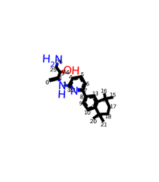 C=C(Nc1cccc(-c2ccc3c(c2)C(C)(C)CCC3(C)C)n1)C(O)CN